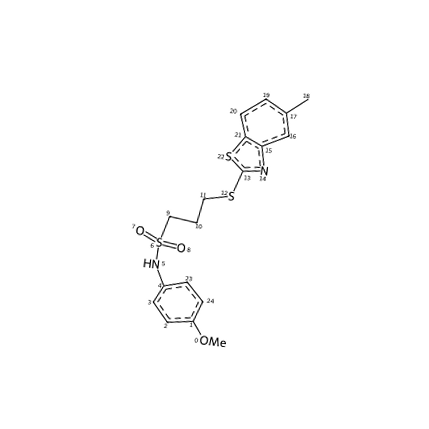 COc1ccc(NS(=O)(=O)CCCSc2nc3cc(C)ccc3s2)cc1